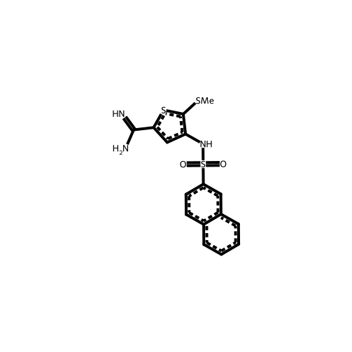 CSc1sc(C(=N)N)cc1NS(=O)(=O)c1ccc2ccccc2c1